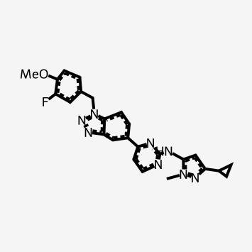 COc1ccc(Cn2nnc3cc(-c4ccnc(Nc5cc(C6CC6)nn5C)n4)ccc32)cc1F